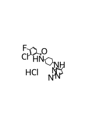 Cc1cnc(N(C)C)nc1NC1CCC(NC(=O)c2ccc(F)c(Cl)c2)CC1.Cl